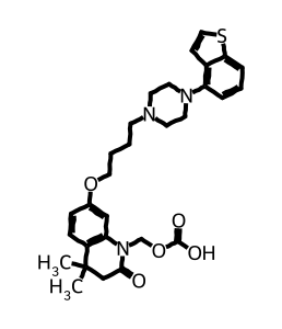 CC1(C)CC(=O)N(COC(=O)O)c2cc(OCCCCN3CCN(c4cccc5sccc45)CC3)ccc21